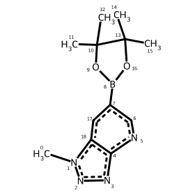 Cn1nnc2ncc(B3OC(C)(C)C(C)(C)O3)cc21